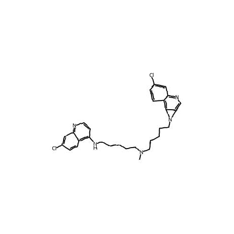 CN(CCCCCNc1ccnc2cc(Cl)ccc12)CCCCCN1c2cnc3cc(Cl)ccc3c21